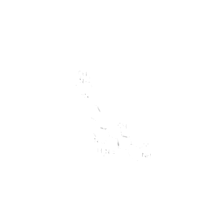 Cc1cc2c(c(F)c1-c1cc(-c3ccc(N4CCN(C)CC4)cc3)cnc1N)CCNC2=O